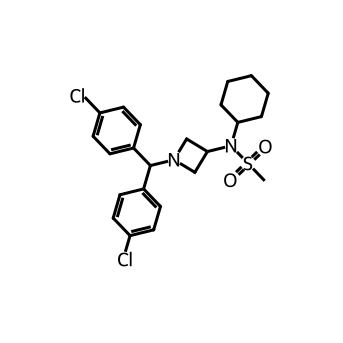 CS(=O)(=O)N(C1CCCCC1)C1CN(C(c2ccc(Cl)cc2)c2ccc(Cl)cc2)C1